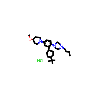 CCCCN1CCN(c2ccc(N3CCC(OC)CC3)cc2C2CCC(C(C)(C)C)CC2)CC1.Cl